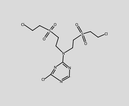 O=S(=O)(CCCl)CCN(CCS(=O)(=O)CCCl)c1n[c]nc(Cl)n1